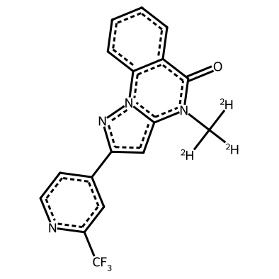 [2H]C([2H])([2H])n1c(=O)c2ccccc2n2nc(-c3ccnc(C(F)(F)F)c3)cc12